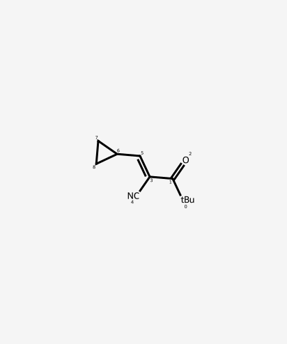 CC(C)(C)C(=O)/C(C#N)=C/C1CC1